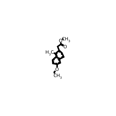 CCOc1ccc2c(C)c(CC(=O)OC)ccc2c1